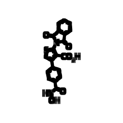 O=C(NO)c1ccc(-c2csc(N3C(=O)c4ccccc4C3=O)c2C(=O)O)cc1